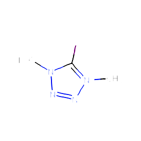 Cn1nn[n+](C)c1I